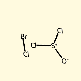 ClBr.[O-][S+](Cl)Cl